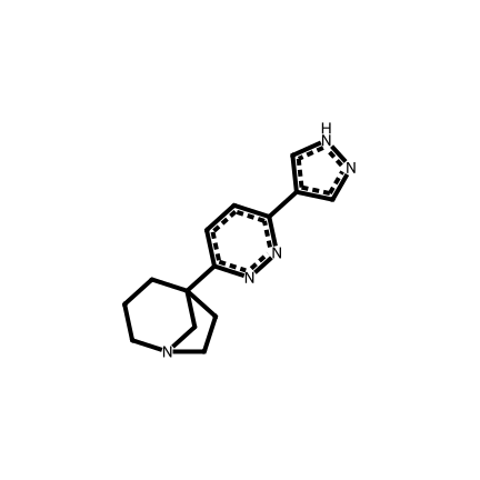 c1n[nH]cc1-c1ccc(C23CCCN(CC2)C3)nn1